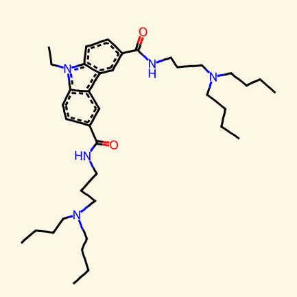 CCCCN(CCCC)CCCNC(=O)c1ccc2c(c1)c1cc(C(=O)NCCCN(CCCC)CCCC)ccc1n2CC